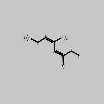 BC/C=C(B)\C=C(\Cl)CC